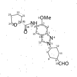 COc1cc2nn(C3CCC(C=O)CC3)cc2cc1NC(=O)[C@H]1CCCCO1